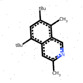 Cc1cc2c(C(C)(C)C)cc(C(C)(C)C)c(C)c2cn1